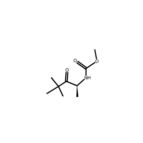 COC(=O)N[C@@H](C)C(=O)C(C)(C)C